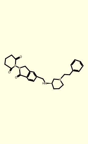 O=C1c2ccc(CN[C@@H]3CCCN(CCc4ccccc4)C3)cc2CN1N1C(=O)CCCC1=O